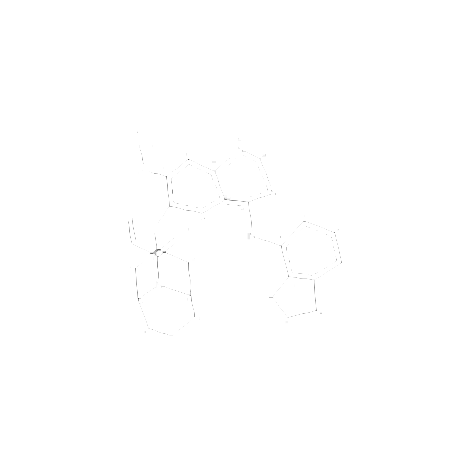 C=CC(=O)N1C2CCCC1CC(Oc1cc3c(Nc4cccc5c4CCC5)ncnc3cc1OC)C2